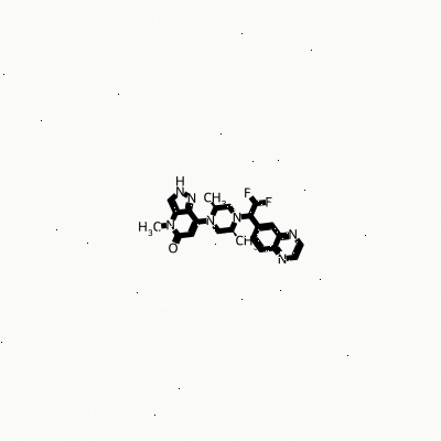 C[C@@H]1CN(c2cc(=O)n(C)c3c[nH]nc23)[C@@H](C)CN1C(c1ccc2nccnc2c1)C(F)F